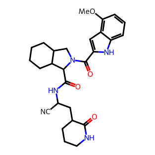 COc1cccc2[nH]c(C(=O)N3CC4CCCCC4C3C(=O)NC(C#N)CC3CCCNC3=O)cc12